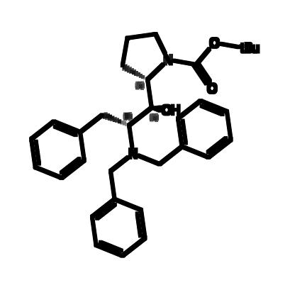 CC(C)(C)OC(=O)N1CCC[C@H]1[C@@H](O)[C@@H](Cc1ccccc1)N(Cc1ccccc1)Cc1ccccc1